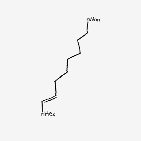 [CH2]CCCCC/C=C/CCCCCCCCCCCCCC[CH2]